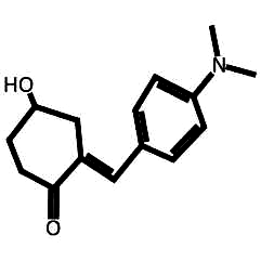 CN(C)c1ccc(C=C2CC(O)CCC2=O)cc1